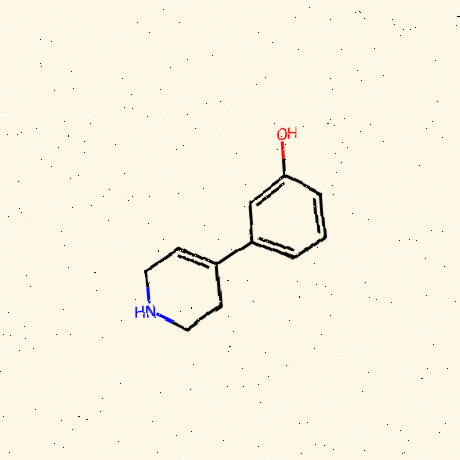 Oc1cccc(C2=CCNCC2)c1